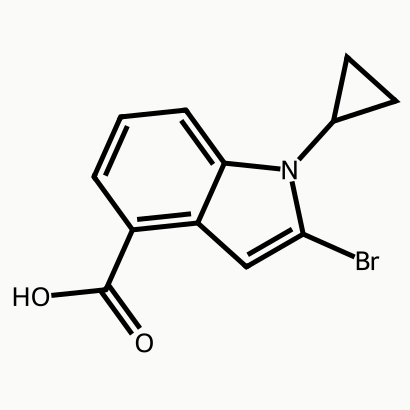 O=C(O)c1cccc2c1cc(Br)n2C1CC1